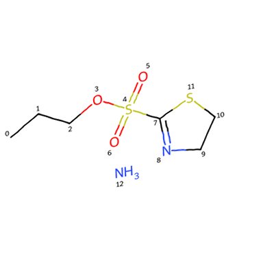 CCCOS(=O)(=O)C1=NCCS1.N